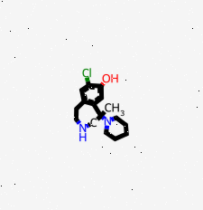 CC1(N2CCCCC2)CNCCc2cc(Cl)c(O)cc21